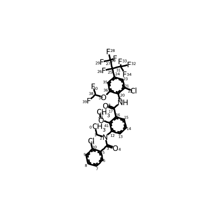 CCN(C(=O)c1ccccc1Cl)c1cccc(C(=O)Nc2c(Cl)cc(C(F)(C(F)(F)F)C(F)(F)F)cc2OC(F)F)c1OC